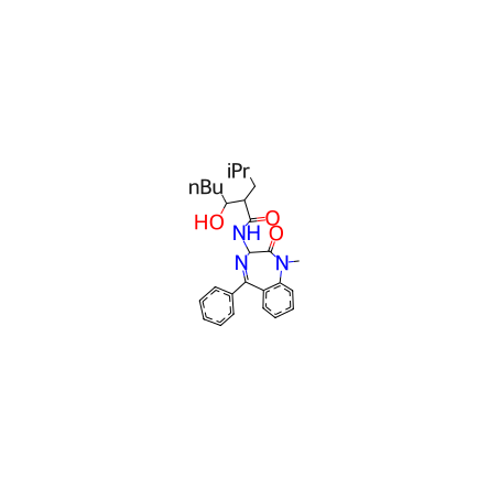 CCCCC(O)C(CC(C)C)C(=O)NC1N=C(c2ccccc2)c2ccccc2N(C)C1=O